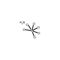 N.[Cl][Ir]([Cl])([Cl])([Cl])([Cl])[Cl]